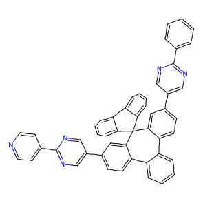 c1ccc(-c2ncc(-c3ccc4c(c3)C3(c5cc(-c6cnc(-c7ccncc7)nc6)ccc5-c5ccccc5-4)c4ccccc4-c4ccccc43)cn2)cc1